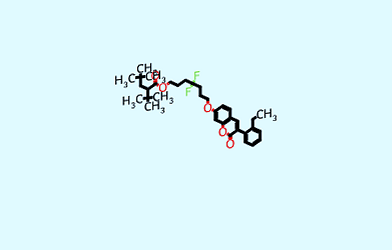 CCc1ccccc1-c1cc2ccc(OCCCC(F)(F)CCCOC(=O)C(CC(C)(C)C)C(C)(C)C)cc2oc1=O